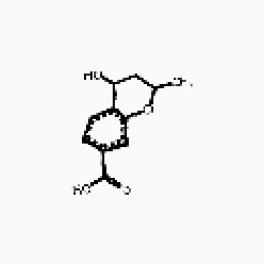 CC1CC(O)c2ccc(C(=O)O)cc2O1